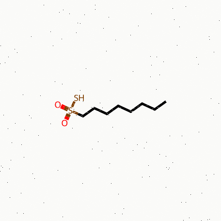 CCCCCCCCS(=O)(=O)S